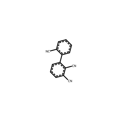 N#Cc1ccccc1-c1cccc(C#N)c1C#N